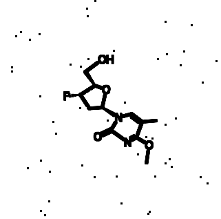 COc1nc(=O)n([C@H]2C[C@H](F)[C@@H](CO)O2)cc1C